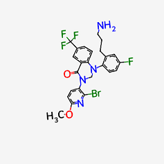 COc1ccc(N2CN(c3ccc(F)cc3CCCN)c3ccc(C(F)(F)F)cc3C2=O)c(Br)n1